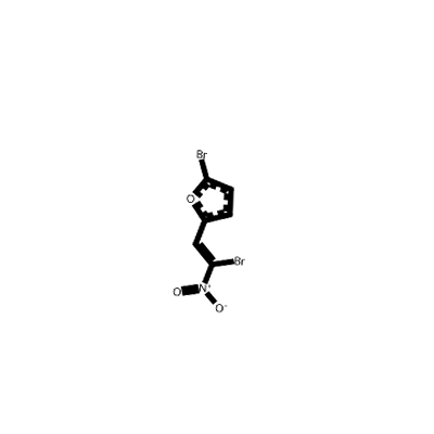 O=[N+]([O-])/C(Br)=C/c1ccc(Br)o1